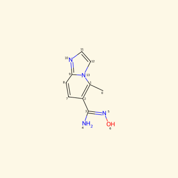 Cc1c(C(N)=NO)ccc2nccn12